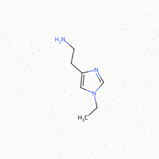 CCn1cnc(CCN)c1